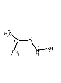 BI(C)ONS